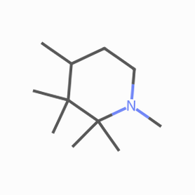 CC1CCN(C)C(C)(C)C1(C)C